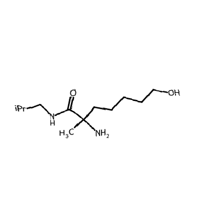 CC(C)CNC(=O)C(C)(N)CCCCCO